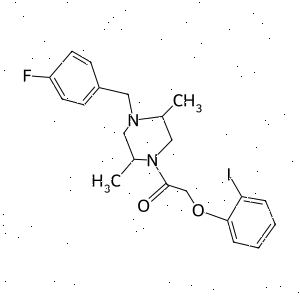 CC1CN(C(=O)COc2ccccc2I)C(C)CN1Cc1ccc(F)cc1